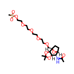 CC(=O)N[C@@H]1[C@H]2OC(C)(C)O[C@H]2[C@]2(COCCOCCOCCOCCOS(C)(=O)=O)CC[C@H]1O2